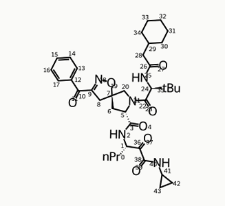 CCC[C@H](NC(=O)[C@@H]1C[C@]2(CC(C(=O)c3ccccc3)=NO2)CN1C(=O)[C@@H](NC(=O)CC1CCCCC1)C(C)(C)C)C(=O)C(=O)NC1CC1